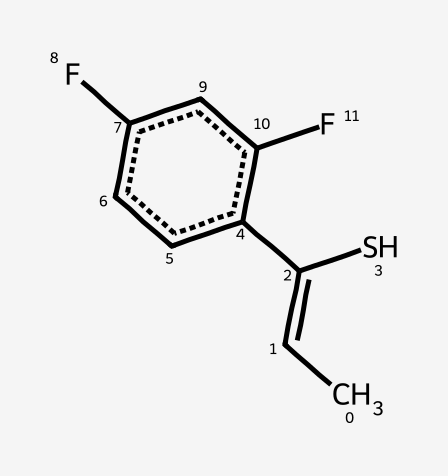 C/C=C(\S)c1ccc(F)cc1F